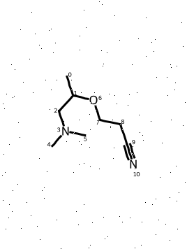 CC(CN(C)C)OCCC#N